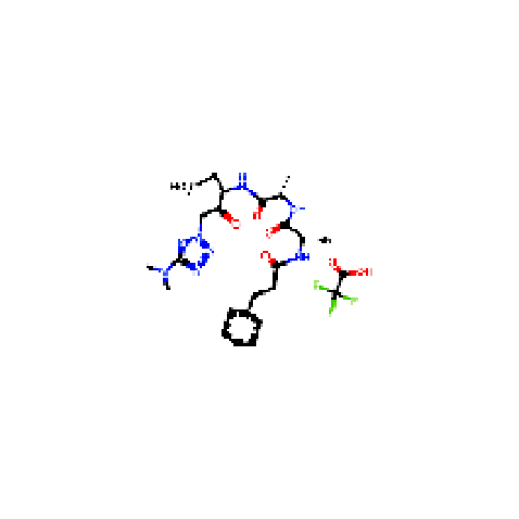 CC(C)[C@H](NC(=O)CCc1ccccc1)C(=O)N[C@@H](C)C(=O)NC(CC(=O)O)C(=O)Cn1nnc(N(C)C)n1.O=C(O)C(F)(F)F